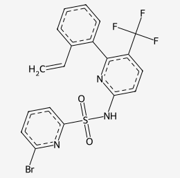 C=Cc1ccccc1-c1nc(NS(=O)(=O)c2cccc(Br)n2)ccc1C(F)(F)F